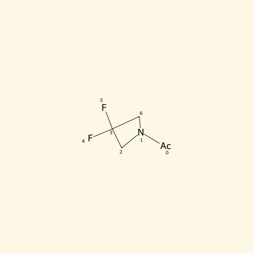 [CH2]C(=O)N1CC(F)(F)C1